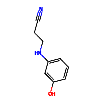 N#CCCNc1cccc(O)c1